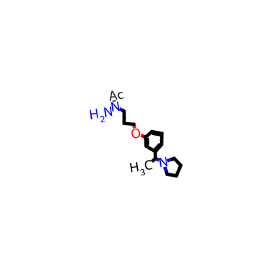 CC(=O)N(N)CCCOc1cccc(C(C)N2CCCC2)c1